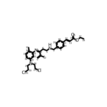 C=C(I)/C(CCNCc1ccc(/C=C/C(=O)OCC)cc1)=N\c1cc(N(CCCl)CCCl)ccc1C